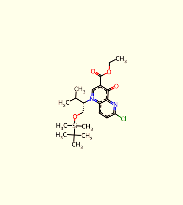 CCOC(=O)c1cn([C@H](CO[Si](C)(C)C(C)(C)C)C(C)C)c2ccc(Cl)nc2c1=O